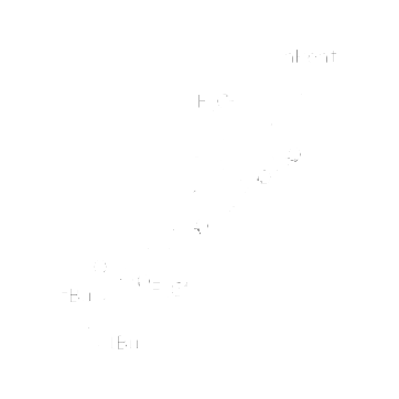 CCCCCc1ccc(-c2cc3ccc(OCC(COC(=O)C(C)(CC(C)(C)C)C(C)(C)C)CC(F)(F)F)cc3oc2=O)c(C(F)(F)F)c1